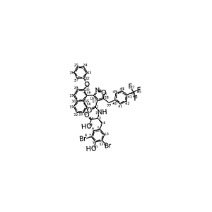 O=C(N[C@@H](Cc1cc(Br)c(O)c(Br)c1)C(=O)O)c1c(-c2c(Oc3ccccc3)ccc3ccccc23)noc1Cc1ccc(C(F)(F)F)cc1